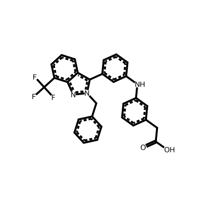 O=C(O)Cc1cccc(Nc2cccc(-c3c4cccc(C(F)(F)F)c4nn3Cc3ccccc3)c2)c1